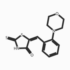 O=C1NC(=S)SC1=Cc1ccccc1N1CCOCC1